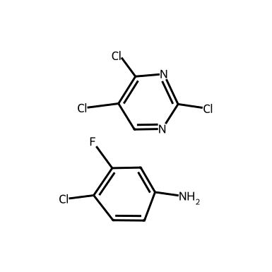 Clc1ncc(Cl)c(Cl)n1.Nc1ccc(Cl)c(F)c1